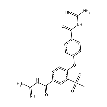 CS(=O)(=O)c1cc(C(=O)NC(=N)N)ccc1Oc1ccc(C(=O)NC(=N)N)cc1